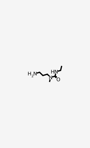 CCNC(=O)N(C)CCCN